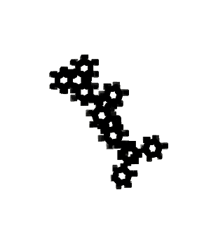 c1ccc(-c2nc(-c3ccccc3)nc(-c3ccc4c(c3)oc3c4ccc4c3c3ccccc3n4-c3ccc4c5ccccc5c5ccccc5c4c3)n2)cc1